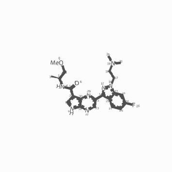 COC[C@H](C)NC(=O)c1c[nH]c2ncc(-c3nn(CCN(C)C)c4cc(F)ccc34)nc12